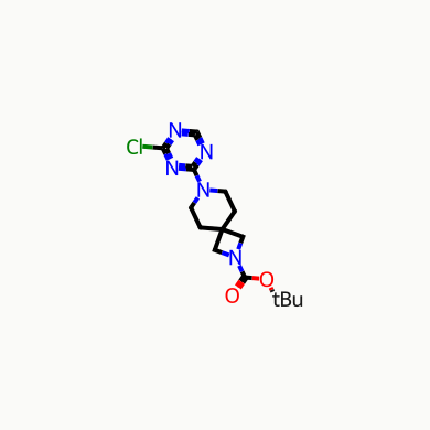 CC(C)(C)OC(=O)N1CC2(CCN(c3ncnc(Cl)n3)CC2)C1